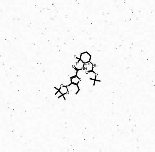 CCc1sc(C(=O)N[C@@H]2[C@H](NC(=O)OC(C)(C)C)CCCC2(F)F)cc1B1OC(C)(C)C(C)(C)O1